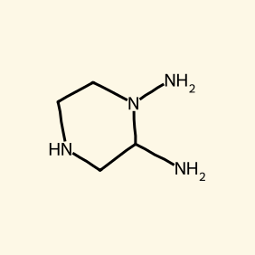 NC1CNCCN1N